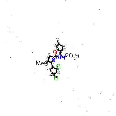 COc1ccc(C(=O)NC(CC(=O)O)c2ccc(C)cc2)nc1-c1ccc(Cl)cc1Cl